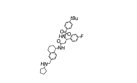 CC(C)(C)c1ccc(S(=O)(=O)N[C@H](CC(=O)N[C@@H]2CCCc3cc(CNC4CCCC4)ccc32)c2ccc(F)cc2)cc1